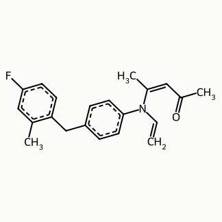 C=CN(/C(C)=C\C(C)=O)c1ccc(Cc2ccc(F)cc2C)cc1